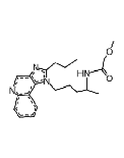 CCCc1nc2cnc3ccccc3c2n1CCCC(C)NC(=O)COC